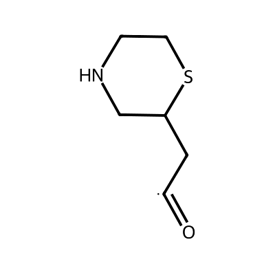 O=[C]CC1CNCCS1